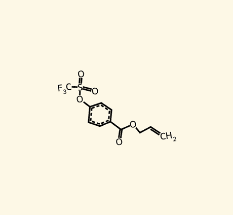 C=CCOC(=O)c1ccc(OS(=O)(=O)C(F)(F)F)cc1